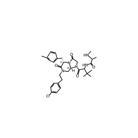 CNC(C)C(=O)NC(C(=O)N1CC(=O)N2[C@@H]1CN(CCc1ccc(Cl)cc1)C(=O)[C@@H]2Cc1ccc(C)cc1)C(C)(C)C